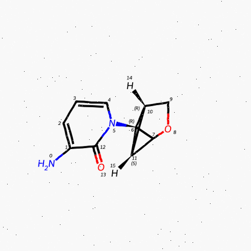 Nc1cccn([C@]23C4OC[C@@H]2[C@H]43)c1=O